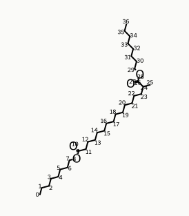 CCCCCCCCOC(=O)CCCCCCCCCCCCCC(C)C(=O)OCCCCCCCC